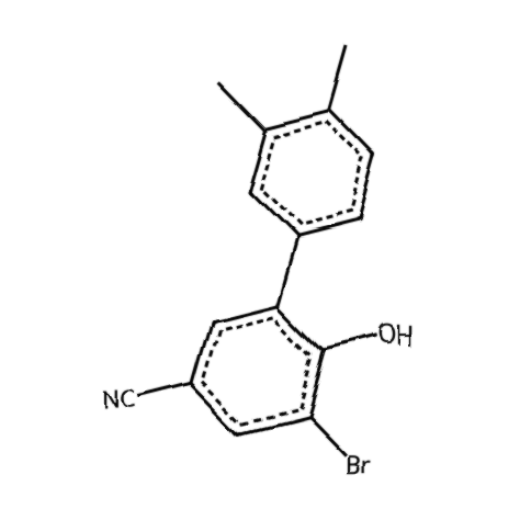 Cc1ccc(-c2cc(C#N)cc(Br)c2O)cc1C